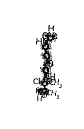 COc1cc(-c2cn(C)c(=O)c3[nH]ncc23)cc(Cl)c1CNc1ccc(CC(=O)N2CCC(c3ccc(NC4CCC(=O)NC4=O)cc3)CC2)cc1